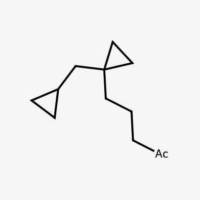 CC(=O)CCCC1(CC2CC2)CC1